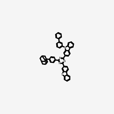 c1ccc(-c2cccc(-n3c4ccccc4c4ccc(-c5nc(-c6ccc(C78CC9CC(CC(C9)C7)C8)cc6)nc(-c6ccc7c(c6)sc6ccccc67)n5)cc43)c2)cc1